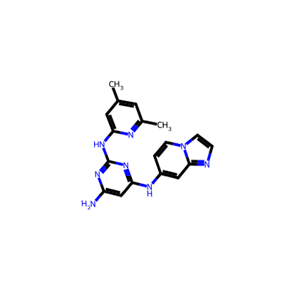 Cc1cc(C)nc(Nc2nc(N)cc(Nc3ccn4ccnc4c3)n2)c1